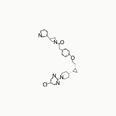 O=C(Cc1ccc(OCC[C@@H]2C[C@@H]2C2CCN(c3ncc(Cl)cn3)CC2)cc1)N1CC(c2cccnc2)C1